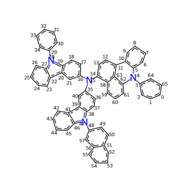 c1ccc(N2c3ccccc3-c3ccc(N(c4ccc5c(c4)c4ccccc4n5-c4ccccc4)c4ccc5c(c4)c4ccccc4n5-c4ccc5ccccc5c4)c4cccc2c34)cc1